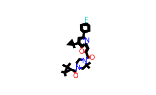 CC1(c2cc(-c3ccc(F)cc3)nc3cc(C(=O)N4CCN(C(=O)C5C(C)(C)C5(C)C)CC4(C)C)oc23)CC1